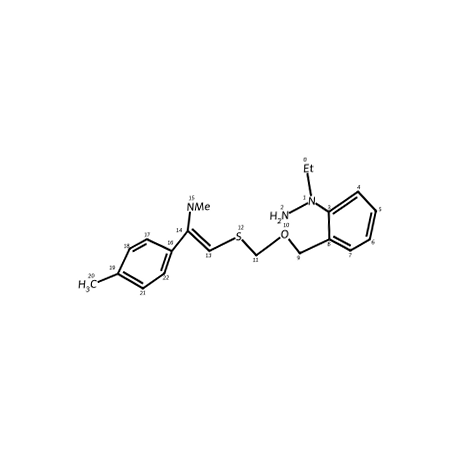 CCN(N)c1ccccc1COCS/C=C(\NC)c1ccc(C)cc1